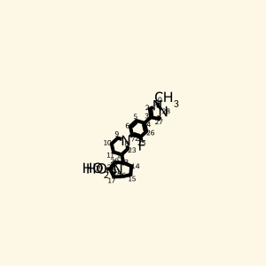 Cn1cc(-c2ccc(N3CCCC(C45CCC(CC(O)C4)N5C(=O)O)C3)c(F)c2)cn1